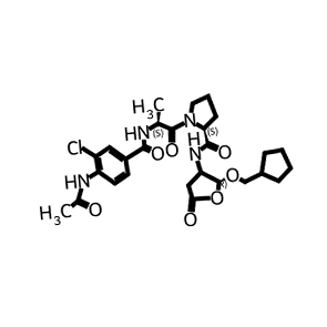 CC(=O)Nc1ccc(C(=O)N[C@@H](C)C(=O)N2CCC[C@H]2C(=O)NC2CC(=O)O[C@H]2OCC2CCCC2)cc1Cl